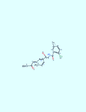 C\C=C/C(=C\C=C\C(=O)OC)C(=O)CNC(=O)c1cc(C(F)(F)F)ccc1Cl